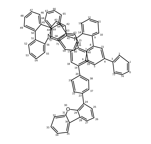 c1ccc(-c2cccc(-c3ccccc3N(c3ccc(-c4ccc(-c5cccc6c5oc5ccccc56)cc4)cc3)c3ccc(-c4ccccc4-c4ccccc4-n4c5ccccc5c5ccccc54)cc3)c2)cc1